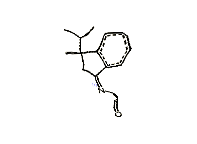 CC(C)C1(C)C/C(=N/C=O)c2ccccc21